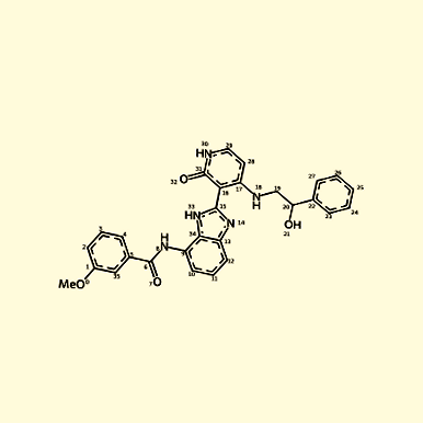 COc1cccc(C(=O)Nc2cccc3nc(-c4c(NCC(O)c5ccccc5)cc[nH]c4=O)[nH]c23)c1